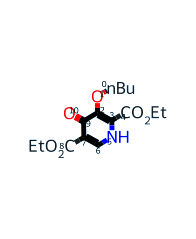 CCCCOc1c(C(=O)OCC)[nH]cc(C(=O)OCC)c1=O